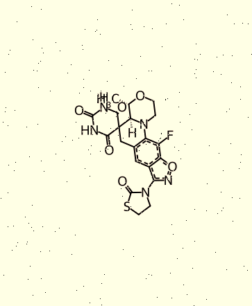 C[C@@H]1OCCN2c3c(cc4c(N5CCSC5=O)noc4c3F)CC3(C(=O)NC(=O)NC3=O)[C@@H]12